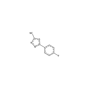 N#Cc1nnc(-c2ccc(F)cc2)s1